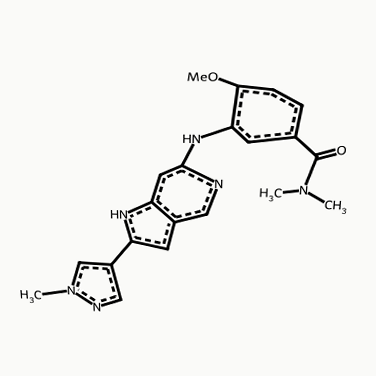 COc1ccc(C(=O)N(C)C)cc1Nc1cc2[nH]c(-c3cnn(C)c3)cc2cn1